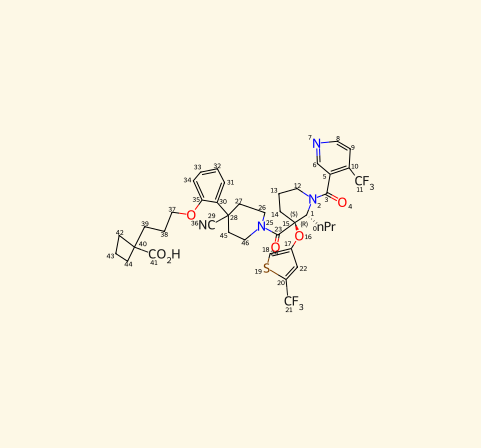 CCC[C@H]1N(C(=O)c2cnccc2C(F)(F)F)CCC[C@@]1(Oc1csc(C(F)(F)F)c1)C(=O)N1CCC(C#N)(c2ccccc2OCCCC2(C(=O)O)CCC2)CC1